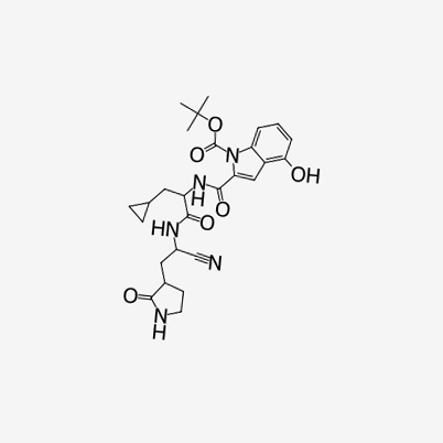 CC(C)(C)OC(=O)n1c(C(=O)NC(CC2CC2)C(=O)NC(C#N)CC2CCNC2=O)cc2c(O)cccc21